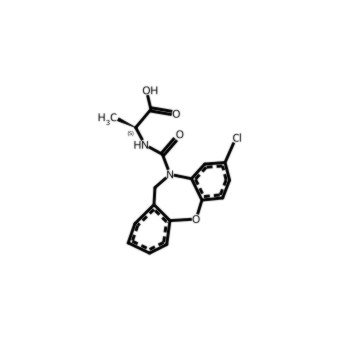 C[C@H](NC(=O)N1Cc2ccccc2Oc2ccc(Cl)cc21)C(=O)O